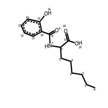 CCCCCCC(NC(=O)c1ccccc1O)C(=O)O